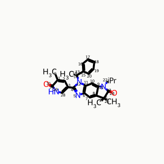 Cc1cc(-c2nc3cc4c(cc3n2[C@@H](C)c2ccccc2)N(C(C)C)C(=O)C4(C)C)c[nH]c1=O